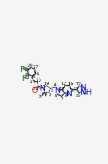 C[C@@H]1CC(Cn2ccc3nc(-c4cn[nH]c4)ccc32)CN1C(=O)CCc1cccc(F)c1F